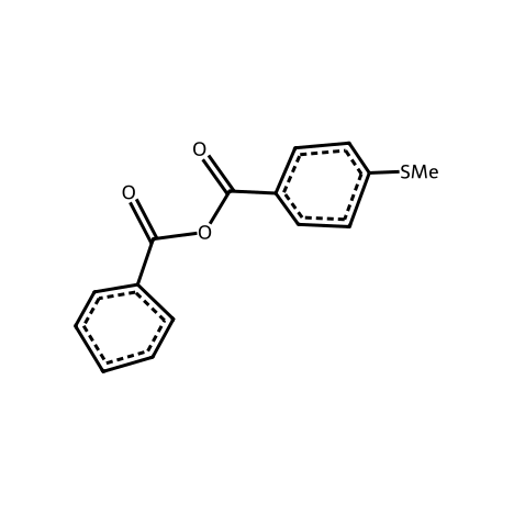 CSc1ccc(C(=O)OC(=O)c2ccccc2)cc1